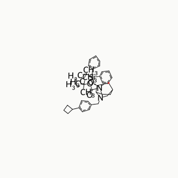 CC(C)(C)OC(=O)N1C2CC3CC1[C@H](O[Si](c1ccccc1)(c1ccccc1)C(C)(C)C)C2N(Cc1ccc(C2CCC2)cc1)C3